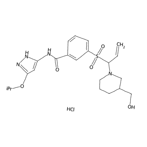 C=CC(N1CCCC(CO)C1)S(=O)(=O)c1cccc(C(=O)Nc2cc(OC(C)C)n[nH]2)c1.Cl